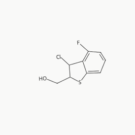 OCC1Sc2cccc(F)c2C1Cl